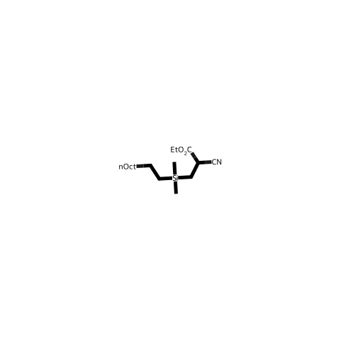 CCCCCCCCCC[Si](C)(C)CC(C#N)C(=O)OCC